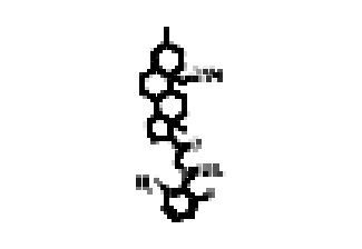 COCC12CCC(C)CC1CCC1C3CCC(C(=O)CN(N)c4c(N)cccc4F)C3(C)CCC12